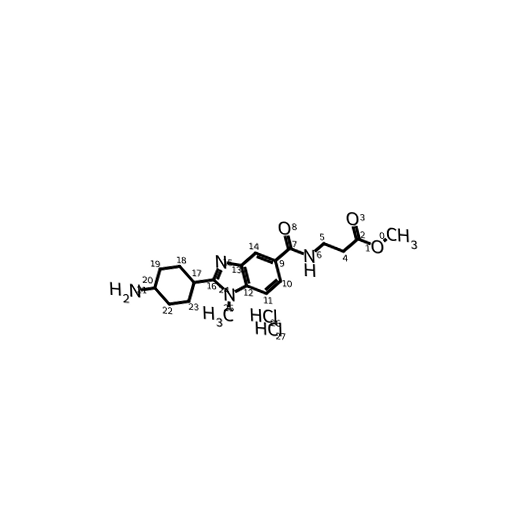 COC(=O)CCNC(=O)c1ccc2c(c1)nc(C1CCC(N)CC1)n2C.Cl.Cl